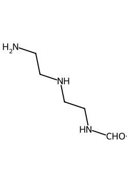 NCCNCCN[C]=O